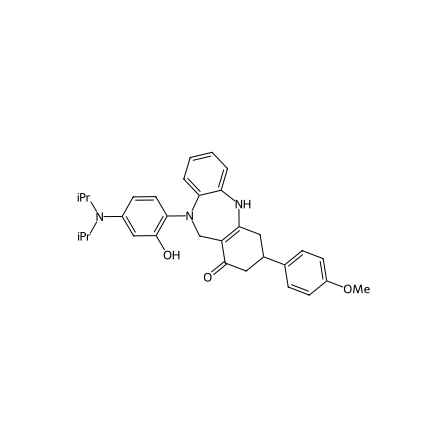 COc1ccc(C2CC(=O)C3=C(C2)Nc2ccccc2N(c2ccc(N(C(C)C)C(C)C)cc2O)C3)cc1